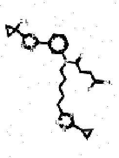 C=C(F)CCC(=O)N(CCCCCc1nc(C2CC2)no1)c1cccc(-c2noc(C3(C)CC3)n2)c1